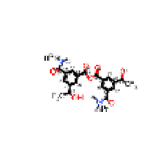 CCCN(C)C(=O)c1cc(C(=O)OC(=O)c2cc(C(=O)N(C)CCC)cc(C(O)C(F)(F)F)c2)cc(C(=O)C(F)(F)F)c1